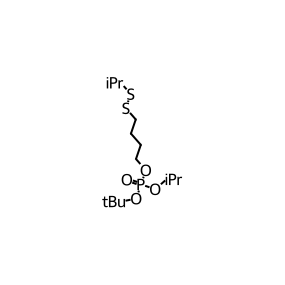 CC(C)OP(=O)(OCCCCSSC(C)C)OC(C)(C)C